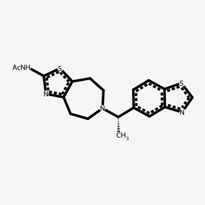 CC(=O)Nc1nc2c(s1)CCN([C@@H](C)c1ccc3scnc3c1)CC2